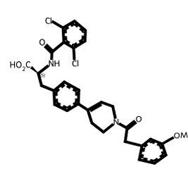 COc1cccc(CC(=O)N2CC=C(c3ccc(C[C@H](NC(=O)c4c(Cl)cccc4Cl)C(=O)O)cc3)CC2)c1